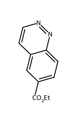 CCOC(=O)c1ccc2nnccc2c1